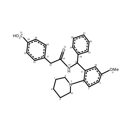 COc1ccc(N2CCCCC2)c(C(NC(=O)Cc2ccc(C(=O)O)cc2)c2ccccc2)c1